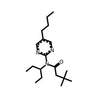 CCCCc1cnc(N(C(=O)CC(C)(C)C)C(CC)CC)nc1